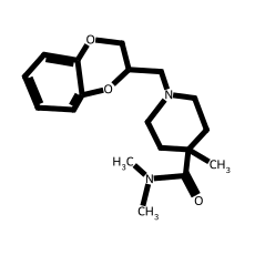 CN(C)C(=O)C1(C)CCN(CC2COc3ccccc3O2)CC1